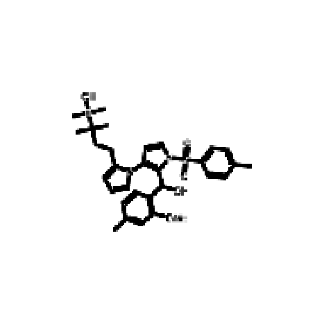 COc1cc(C)ccc1C(O)c1c(-n2cccc2CCC(C)(C)[Si](C)(C)O)ccn1S(=O)(=O)c1ccc(C)cc1